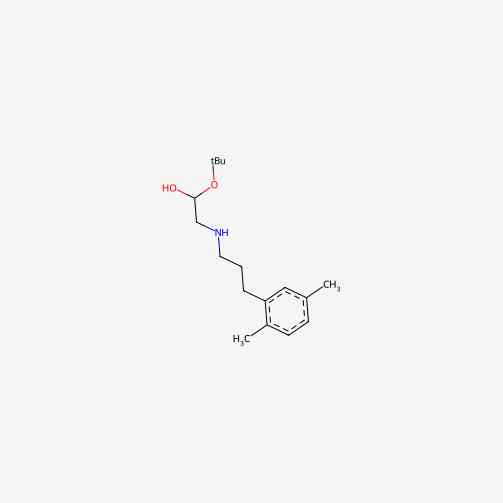 Cc1ccc(C)c(CCCNCC(O)OC(C)(C)C)c1